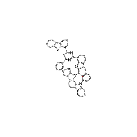 c1ccc(-c2nc(-c3cccc4c3oc3c(-n5c6ccccc6c6ccc7c8ccccc8n(-c8ccccc8)c7c65)cccc34)nc(-c3cccc4c3sc3ccccc34)n2)cc1